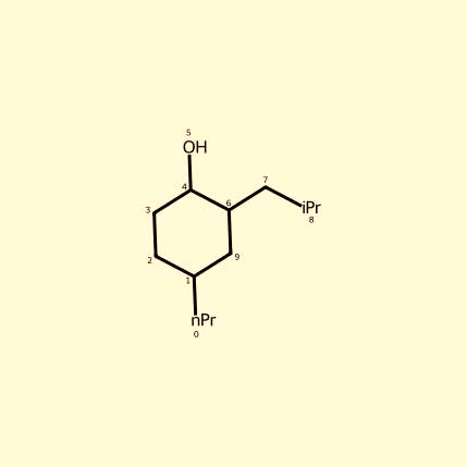 CCCC1CCC(O)C(CC(C)C)C1